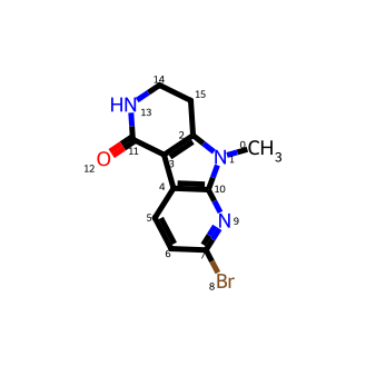 Cn1c2c(c3ccc(Br)nc31)C(=O)NCC2